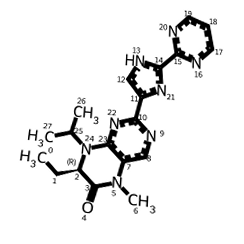 CC[C@@H]1C(=O)N(C)c2cnc(-c3c[nH]c(-c4ncccn4)n3)nc2N1C(C)C